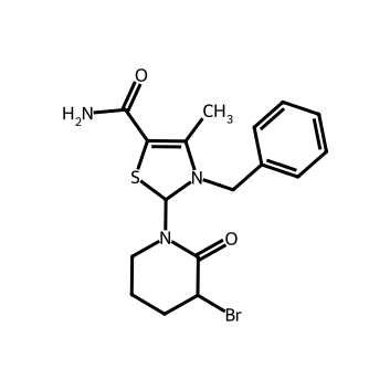 CC1=C(C(N)=O)SC(N2CCCC(Br)C2=O)N1Cc1ccccc1